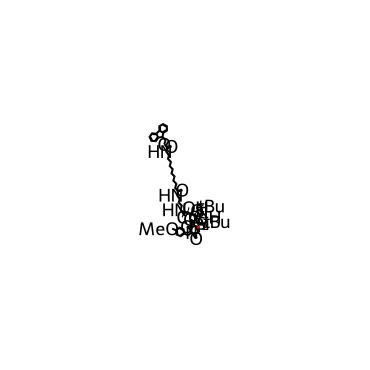 COc1ccc(Cn2c(=O)ccn([C@@H]3OC([C@H](O)[C@H](NCCCNC(=O)CCCCCCCCCCNC(=O)OCC4c5ccccc5-c5ccccc54)C(=O)O)[C@@H](O[Si](C)(C)C(C)(C)C)[C@H]3O[Si](C)(C)C(C)(C)C)c2=O)cc1